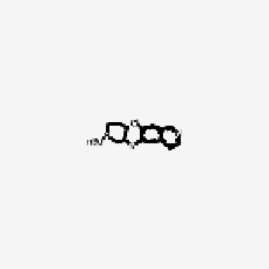 CCCCN1CCCC(Sc2cc3ccncc3cc2Cl)C1